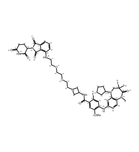 COc1cc(C(=O)NC2CN(CCOCCOCCNc3cccc4c3C(=O)N(C3CCC(=O)NC3=O)C4=O)C2)c(F)cc1Nc1ncc2c(n1)N(C1CCCC1)CC(F)(F)C(=O)N2C